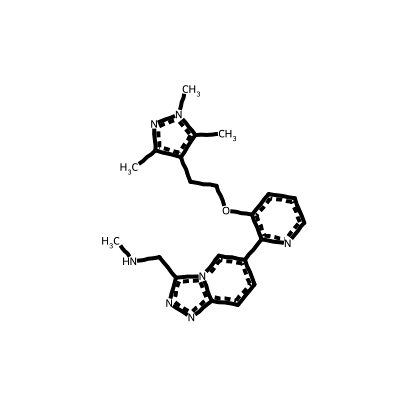 CNCc1nnc2ccc(-c3ncccc3OCCc3c(C)nn(C)c3C)cn12